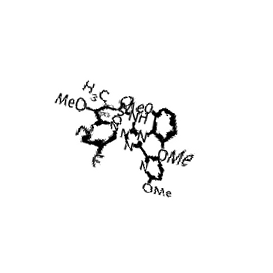 COc1cccc(-c2nnc(NS(=O)(=O)[C@@H](C)[C@H](OC)c3ncc(F)cn3)n2-c2c(OC)cccc2OC)n1